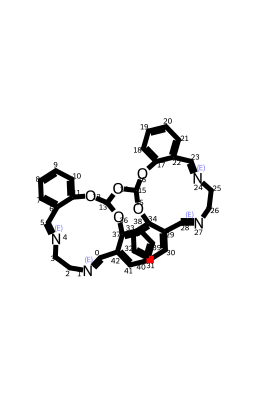 C1=N/CC/N=C/c2ccccc2OC(OC2Oc3ccccc3/C=N/CC/N=C/c3ccccc3O2)Oc2ccccc2/1